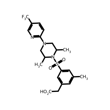 Cc1cc(CC(=O)O)cc(S(=O)(=O)N2C(C)CN(c3ccc(C(F)(F)F)cn3)CC2C)c1